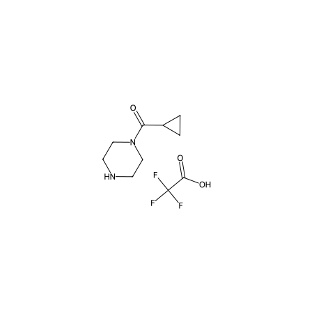 O=C(C1CC1)N1CCNCC1.O=C(O)C(F)(F)F